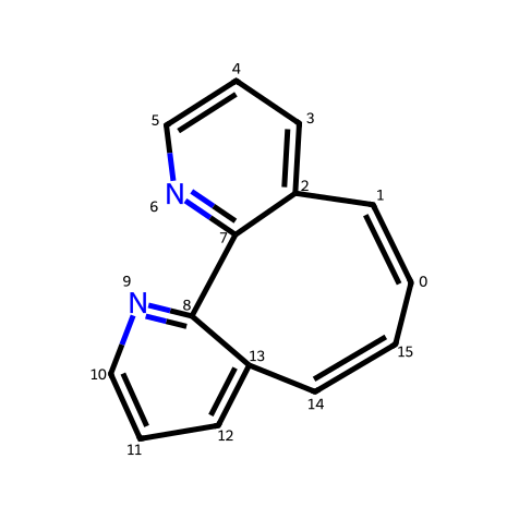 C1=Cc2cccnc2-c2ncccc2C=C1